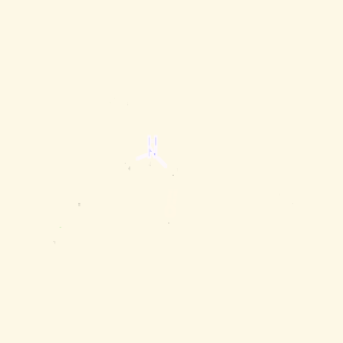 O=C(O)CCC(=O)Nc1cc(Cl)ccc1Cl